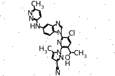 Cc1ccc(Nc2ccc3c(c2)ncn3-c2nc(-n3nc(C#N)cc3C)c(C(C)O)cc2Cl)nn1